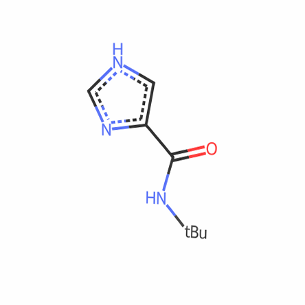 CC(C)(C)NC(=O)c1c[nH]cn1